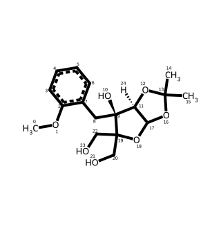 COc1ccccc1C[C@]1(O)[C@H]2OC(C)(C)OC2OC1(CO)CO